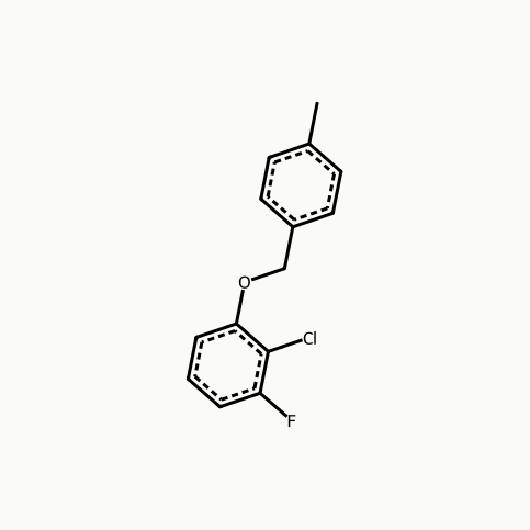 Cc1ccc(COc2cccc(F)c2Cl)cc1